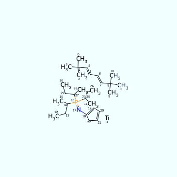 CC(C)(C)C=CC=CC(C)(C)C.CCC(C)P(=NC1=CC=CC1)(C(C)CC)C(C)CC.[Ti]